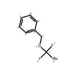 CC(C)(C)C(F)(F)OCc1ccccc1